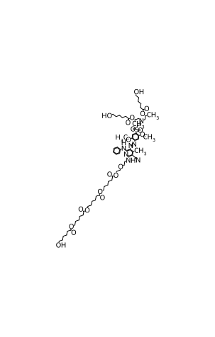 COc1cc(S(=O)(=O)CCN(CC(C)OC(=O)CCCCCO)CC(C)OC(=O)CCCCCO)c(OC)cc1/N=N/c1c(Nc2ccccc2)nc(NCCOCCOC(=O)CCCCCOC(=O)CCCCCOC(=O)CCCCCOC(=O)CCCCCO)c(C#N)c1C